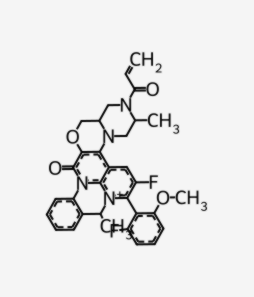 C=CC(=O)N1CC2COc3c(c4cc(F)c(-c5c(F)cccc5OC)[n+]5c4n(c3=O)-c3ccccc3C5C)N2CC1C